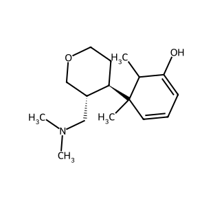 CC1C(O)=CC=CC1(C)[C@@H]1CCOC[C@H]1CN(C)C